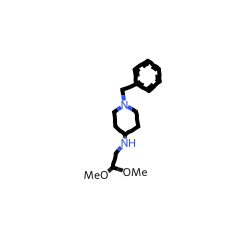 COC(CNC1CCN(Cc2ccccc2)CC1)OC